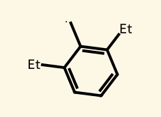 [CH2]c1c(CC)cccc1CC